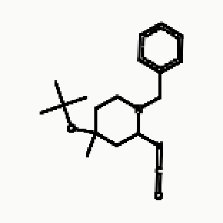 CC(C)(C)OC1(C)CCN(Cc2ccccc2)C(N=C=O)C1